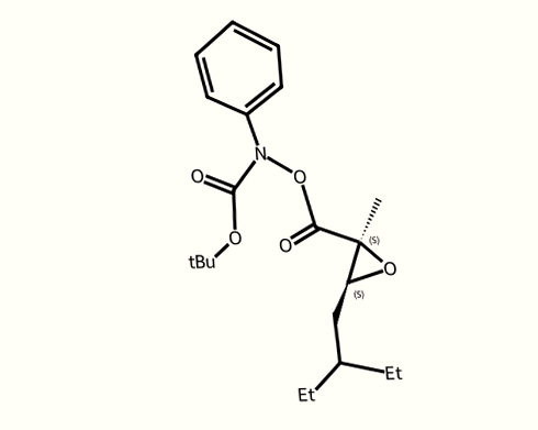 CCC(CC)C[C@@H]1O[C@]1(C)C(=O)ON(C(=O)OC(C)(C)C)c1ccccc1